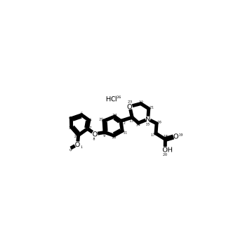 COc1ccccc1Oc1ccc(C2CN(CCC(=O)O)CCO2)cc1.Cl